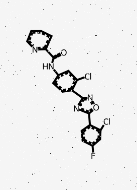 O=C(Nc1ccc(-c2noc(-c3ccc(F)cc3Cl)n2)c(Cl)c1)c1ccccn1